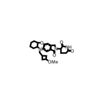 COC1CC(CNC2CCCCC2Oc2ccc3c(c2)CN(C2CCC(=O)NC2=O)C3=O)C1